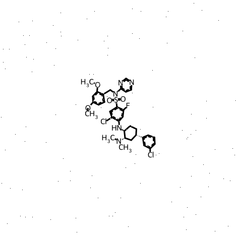 COc1ccc(CN(c2ccncn2)S(=O)(=O)c2cc(Cl)c(N[C@H]3CC[C@H](c4cccc(Cl)c4)C[C@@H]3N(C)C)cc2F)c(OC)c1